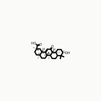 CC1(C)C2CC[C@]3(C)[C@H](C(=O)C=C4[C@H]5C[C@](C)(C(=O)O)CC[C@]5(C)CC[C@]43C)[C@@]2(C)CC[C@@H]1O